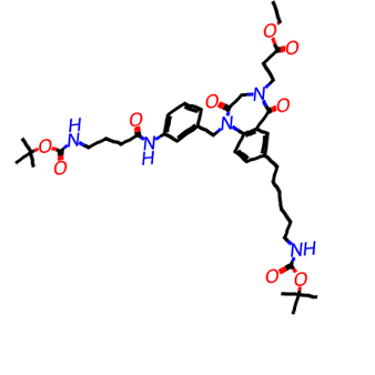 CCOC(=O)CCN1CC(=O)N(Cc2cccc(NC(=O)CCCNC(=O)OC(C)(C)C)c2)c2ccc(CCCCCCNC(=O)OC(C)(C)C)cc2C1=O